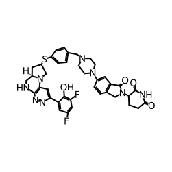 O=C1CCC(N2Cc3ccc(N4CCN(Cc5ccc(S[C@@H]6C[C@@H]7CNc8nnc(-c9cc(F)cc(F)c9O)cc8N7C6)cc5)CC4)cc3C2=O)C(=O)N1